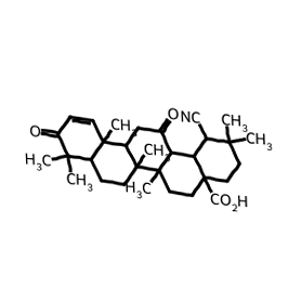 CC1(C)CCC2(C(=O)O)CCC3(C)C(C(=O)CC4C5(C)C=CC(=O)C(C)(C)C5CCC43C)C2C1C#N